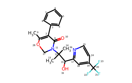 CC1=C(c2ccccc2)C(=O)N(C(C)(C)C(O)c2cc(C(F)(F)F)ccn2)CO1